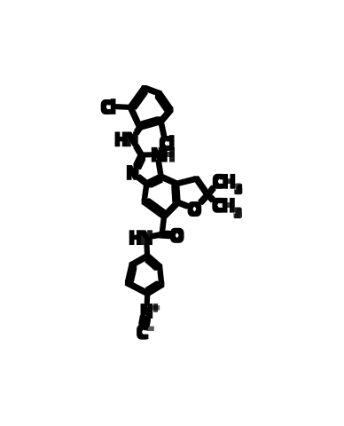 [C-]#[N+]c1ccc(NC(=O)c2cc3nc(Nc4c(Cl)cccc4Cl)[nH]c3c3c2OC(C)(C)C3)cc1